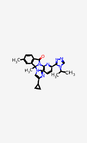 Cc1ccc2c(c1)C(C)(n1cnc(C3CC3)c1)N(c1cccc(-c3nncn3C(C)C)n1)C2=O